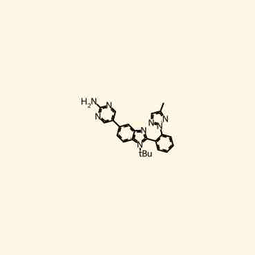 Cc1cnn(-c2ccccc2-c2nc3cc(-c4cnc(N)nc4)ccc3n2C(C)(C)C)n1